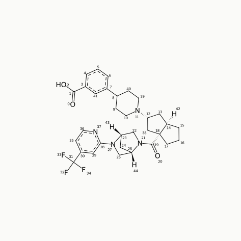 O=C(O)c1cccc(C2CCN([C@@H]3C[C@H]4CCC[C@@]4(C(=O)N4C[C@@H]5C[C@H]4CN5c4cc(C(F)(F)F)ccn4)C3)CC2)c1